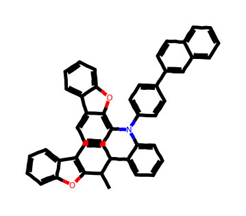 CC1c2oc3ccccc3c2C=CC1c1ccccc1N(c1ccc(-c2ccc3ccccc3c2)cc1)c1cccc2c1oc1ccccc12